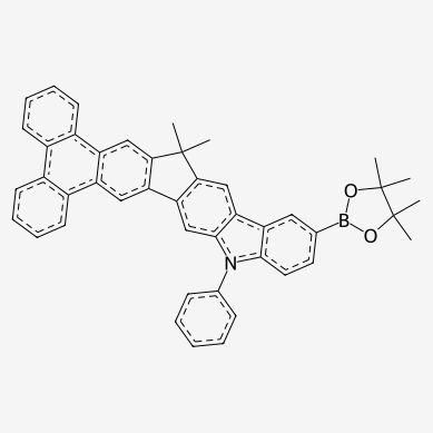 CC1(C)c2cc3c4ccccc4c4ccccc4c3cc2-c2cc3c(cc21)c1cc(B2OC(C)(C)C(C)(C)O2)ccc1n3-c1ccccc1